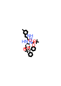 Cc1ccc2[nH]c(C(=O)N[C@H](CC=O)[C@@H](CO[Si](c3ccccc3)(c3ccccc3)C(C)(C)C)NC(=O)OC(C)(C)C)cc2c1